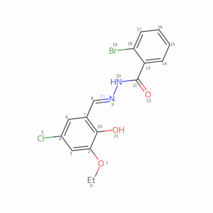 CCOc1cc(Cl)cc(/C=N/NC(=O)c2ccccc2Br)c1O